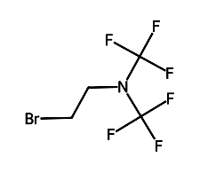 FC(F)(F)N(CCBr)C(F)(F)F